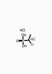 CC(Cl)P(=O)(O)O.Cl.Cl